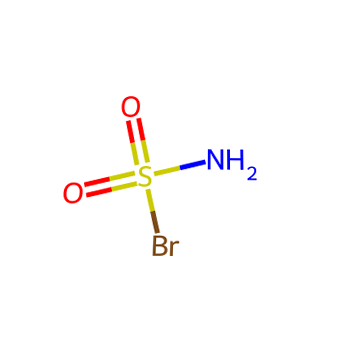 NS(=O)(=O)Br